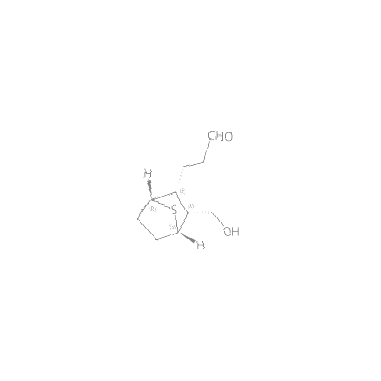 O=CCC[C@@H]1[C@H](CO)[C@@H]2CC[C@H]1S2